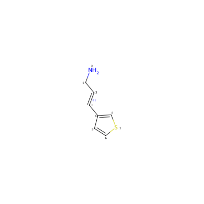 NC/C=C/c1ccsc1